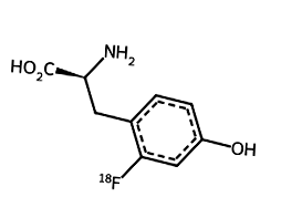 N[C@@H](Cc1ccc(O)cc1[18F])C(=O)O